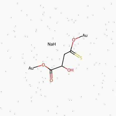 O=C([O][Au])C(O)CC(=S)[O][Au].[NaH]